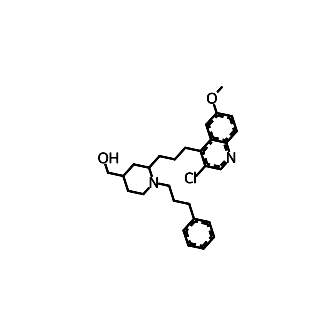 COc1ccc2ncc(Cl)c(CCCC3CC(CO)CCN3CCCc3ccccc3)c2c1